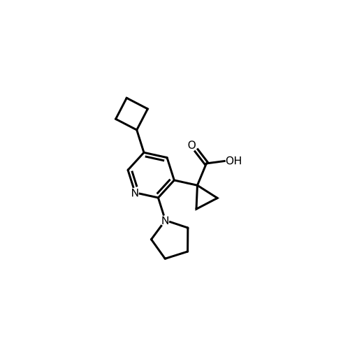 O=C(O)C1(c2cc(C3CCC3)cnc2N2CCCC2)CC1